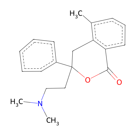 Cc1cccc2c1CC(CCN(C)C)(c1ccccc1)OC2=O